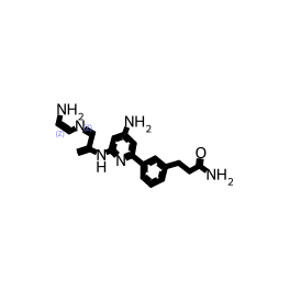 C=C(/C=N\C=C/N)Nc1cc(N)cc(-c2cccc(CCC(N)=O)c2)n1